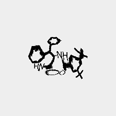 CNC(=O)[C@@H](NC(=O)c1cc(C(C)(C)C)cc(C(C)(C)C)c1)C(c1ccccc1)c1ccccc1